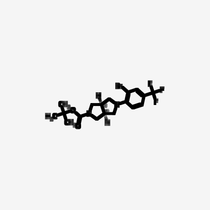 CC(C)(C)OC(=O)N1C[C@@H]2CN(c3ccc(C(F)(F)F)cc3Br)C[C@@H]2C1